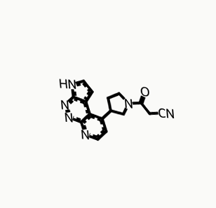 N#CCC(=O)N1CCC(c2ccnc3nnc4[nH]ccc4c23)C1